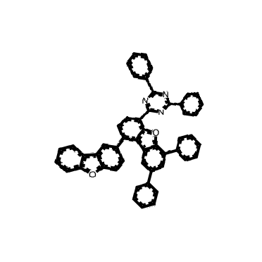 c1ccc(-c2cc(-c3ccccc3)c3oc4c(-c5nc(-c6ccccc6)nc(-c6ccccc6)n5)ccc(-c5ccc6oc7ccccc7c6c5)c4c3c2)cc1